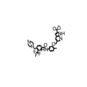 COC(=O)c1cc2cc(COc3cc(NC(=O)c4ccc(CN5CCN(C)CC5)c(C(F)(F)F)c4)ccc3C)cnc2[nH]1